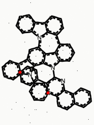 c1ccc(-c2nc3ccc4ccccc4c3nc2-n2c3cccc4c5cccc6c7ccccc7n(c7cc8c9ccccc9n(-c9ccccc9)c8c2c7c43)c56)cc1